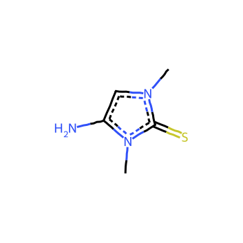 Cn1cc(N)n(C)c1=S